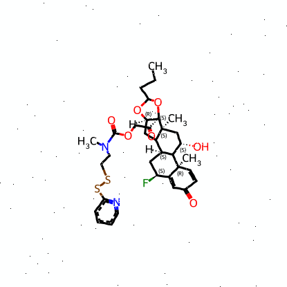 CCCC1O[C@@H]2CC3[C@@H]4C[C@H](F)C5=CC(=O)C=C[C@]5(C)C4[C@@H](O)C[C@]3(C)[C@]2(C(=O)COC(=O)N(C)CCSSc2ccccn2)O1